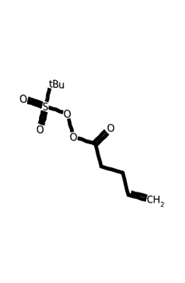 C=CCCC(=O)OOS(=O)(=O)C(C)(C)C